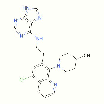 N#CC1CCN(c2c(CCNc3ncnc4[nH]cnc34)cc(Cl)c3cccnc23)CC1